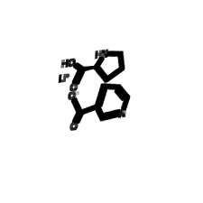 O=C(O)[C@@H]1CCCN1.O=C([O-])c1cccnc1.[Li+]